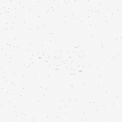 c1ccc2cc(-c3c4ccccc4c(-c4cc(-c5cccc6ccccc56)cc(-c5cccc6ccccc56)c4)c4ccccc34)ccc2c1